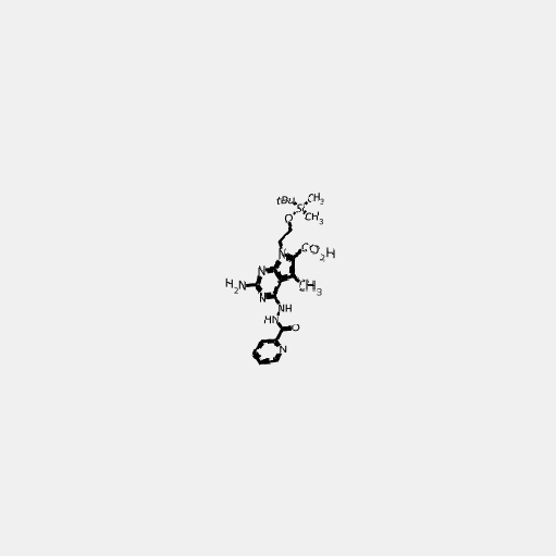 Cc1c(C(=O)O)n(CCO[Si](C)(C)C(C)(C)C)c2nc(N)nc(NNC(=O)c3ccccn3)c12